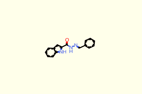 O=C(NN=Cc1ccccc1)c1cc2ccccc2[nH]1